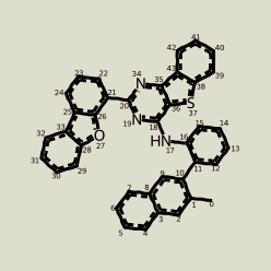 Cc1cc2ccccc2cc1-c1ccccc1Nc1nc(-c2cccc3c2oc2ccccc23)nc2c1sc1ccccc12